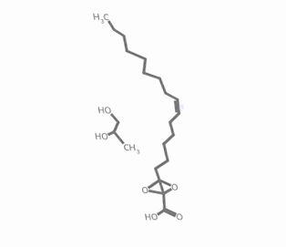 CC(O)CO.CCCCCCCC/C=C\CCCCCC12OC1(C(=O)O)O2